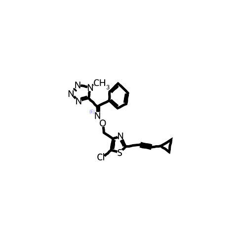 Cn1nnnc1/C(=N/OCc1nc(C#CC2CC2)sc1Cl)c1ccccc1